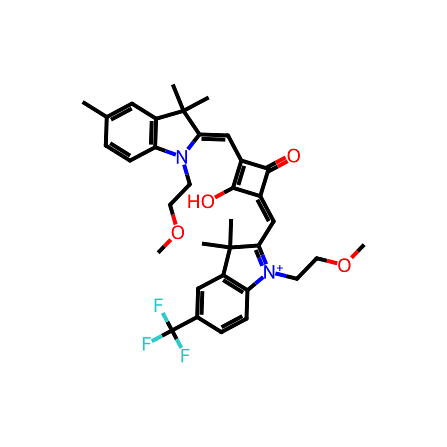 COCCN1/C(=C\C2=C(O)C(=C\C3=[N+](CCOC)c4ccc(C(F)(F)F)cc4C3(C)C)/C2=O)C(C)(C)c2cc(C)ccc21